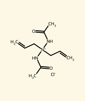 C=CC[N+](CC=C)(NC(C)=O)NC(C)=O.[Cl-]